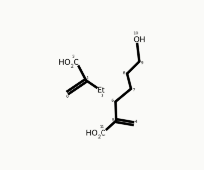 C=C(CC)C(=O)O.C=C(CCCCO)C(=O)O